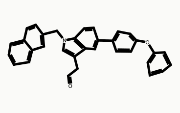 O=CCc1cn(Cc2ccc3ccccc3c2)c2ccc(-c3ccc(Oc4ccccc4)cc3)cc12